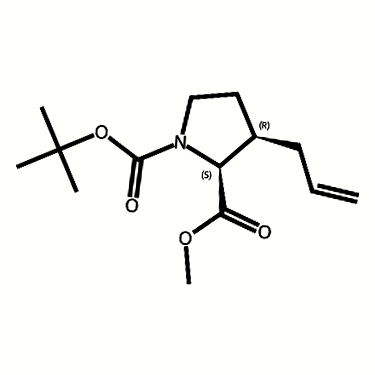 C=CC[C@@H]1CCN(C(=O)OC(C)(C)C)[C@@H]1C(=O)OC